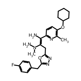 Cc1nc(/C(N)=C(\Cc2nnc(Cc3ccc(F)cc3)o2)N(C)N)ccc1OC1CCCCC1